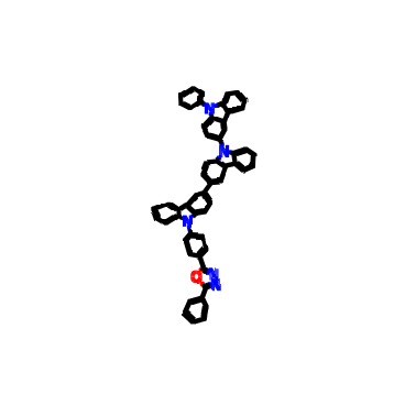 C1=CC2C(C=C1c1ccc3c(c1)c1ccccc1n3-c1ccc(-c3nnc(-c4ccccc4)o3)cc1)c1ccccc1N2c1ccc2c(c1)c1ccccc1n2-c1ccccc1